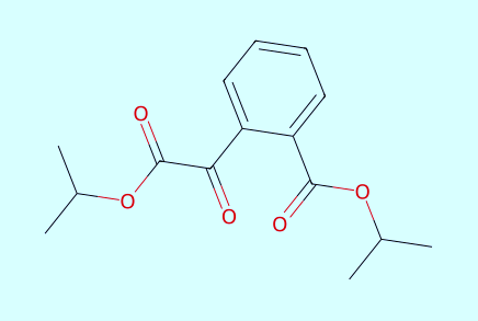 CC(C)OC(=O)C(=O)c1ccccc1C(=O)OC(C)C